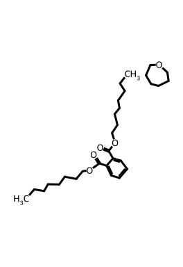 C1CCCOCC1.CCCCCCCCOC(=O)c1ccccc1C(=O)OCCCCCCCC